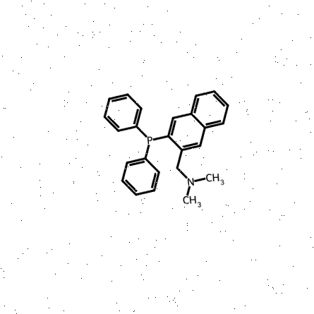 CN(C)Cc1cc2ccccc2cc1P(c1ccccc1)c1ccccc1